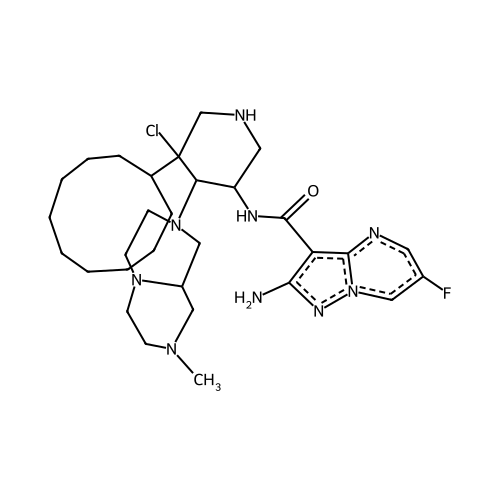 CN1CCN2CCN(C3C(NC(=O)c4c(N)nn5cc(F)cnc45)CNCC3(Cl)C3CCCCCCCCC3)CC2C1